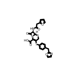 O=C(Cc1ccco1)N[C@@H]1C(=O)N2C(C(=O)O)=C(Sc3ccc(Cc4ncco4)cc3)CS[C@H]12